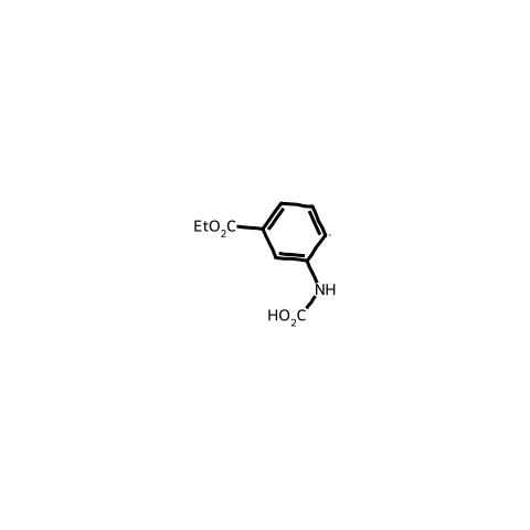 CCOC(=O)c1cc[c]c(NC(=O)O)c1